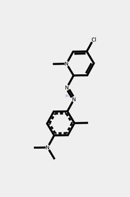 Cc1cc(N(C)C)ccc1/N=N/C1C=CC(Cl)=CN1C